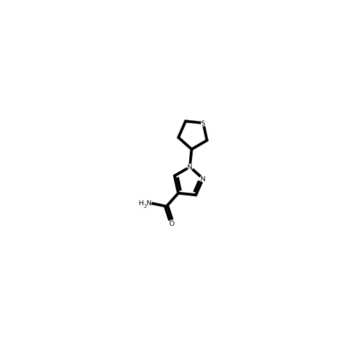 NC(=O)c1cnn(C2CCSC2)c1